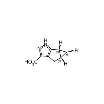 CC(C)[C@H]1[C@@H]2Cc3c(C(=O)O)n[nH]c3[C@@H]21